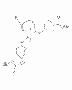 COC(=O)C1CCC(Nc2ncc(F)cc2C(=O)NC2CCC(NC(=O)OC(C)(C)C)CC2)CC1